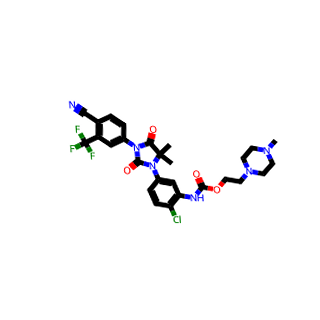 CN1CCN(CCOC(=O)Nc2cc(N3C(=O)N(c4ccc(C#N)c(C(F)(F)F)c4)C(=O)C3(C)C)ccc2Cl)CC1